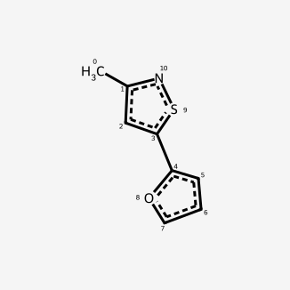 Cc1cc(-c2ccco2)sn1